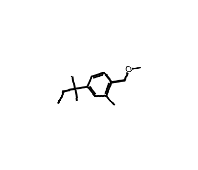 CCC(C)(C)c1ccc(COC)c(C)c1